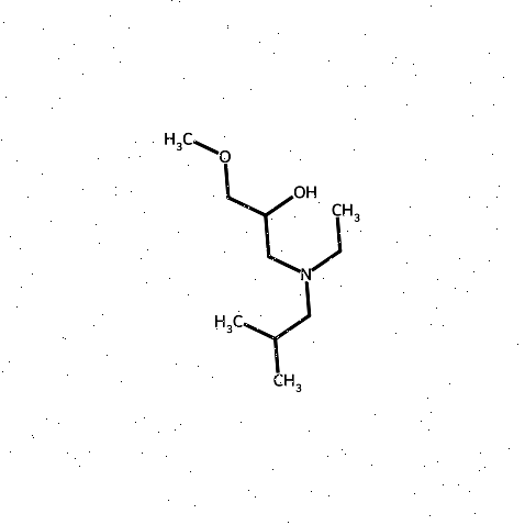 CCN(CC(C)C)CC(O)COC